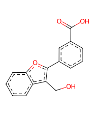 O=C(O)c1cccc(-c2oc3ccccc3c2CO)c1